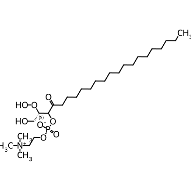 CCCCCCCCCCCCCCCCCCC(=O)C(OP(=O)([O-])OCC[N+](C)(C)C)[C@H](CO)OO